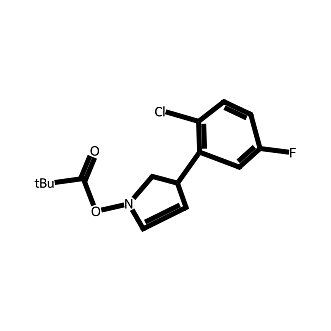 CC(C)(C)C(=O)ON1C=CC(c2cc(F)ccc2Cl)C1